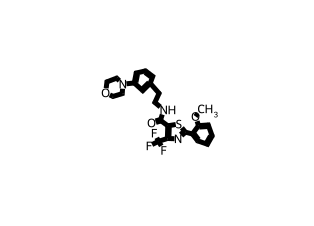 COc1ccccc1-c1nc(C(F)(F)F)c(C(=O)NCCc2cccc(N3CCOCC3)c2)s1